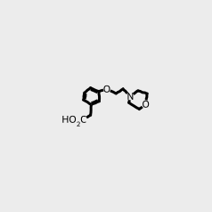 O=C(O)Cc1cccc(OCCN2CCOCC2)c1